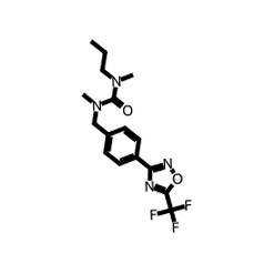 CCCN(C)C(=O)N(C)Cc1ccc(-c2noc(C(F)(F)F)n2)cc1